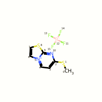 CSc1cc[n+]2ccsc2n1.F[B-](F)(F)F